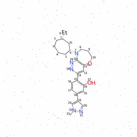 CC[C@H]1CCCC[C@@H](N2CCCOc3cc(-c4ccc(-c5cnn(C)c5)cc4O)nnc32)C1